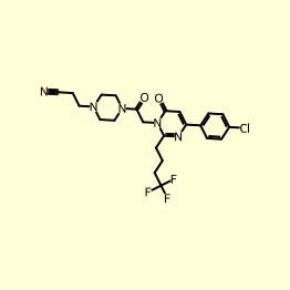 N#CCCN1CCN(C(=O)Cn2c(CCCC(F)(F)F)nc(-c3ccc(Cl)cc3)cc2=O)CC1